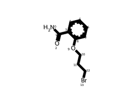 NC(=O)c1ccccc1OCCCBr